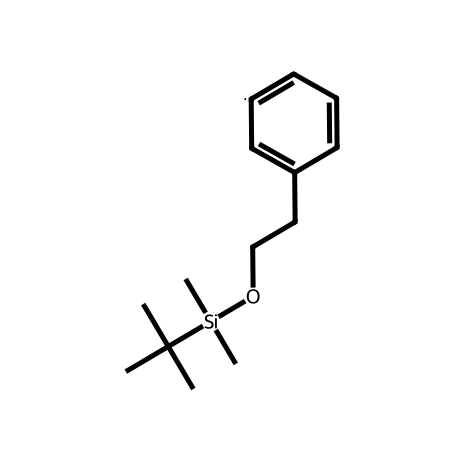 CC(C)(C)[Si](C)(C)OCCc1c[c]ccc1